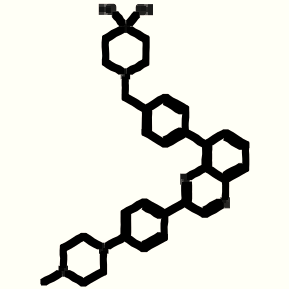 CN1CCN(c2ccc(-c3cnc4cccc(-c5ccc(CN6CCS(O)(O)CC6)cc5)c4n3)cc2)CC1